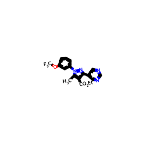 CCOC(=O)c1c(-c2cncnc2)nn(-c2cccc(OC(F)(F)F)c2)c1C